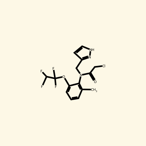 Cc1cccc(OC(F)(F)C(F)F)c1N(Cc1cc[nH]n1)C(=O)CCl